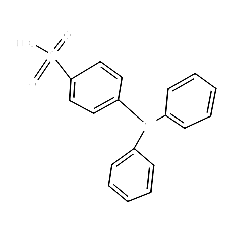 CS(=O)(=O)c1ccc([SH](c2ccccc2)c2ccccc2)cc1